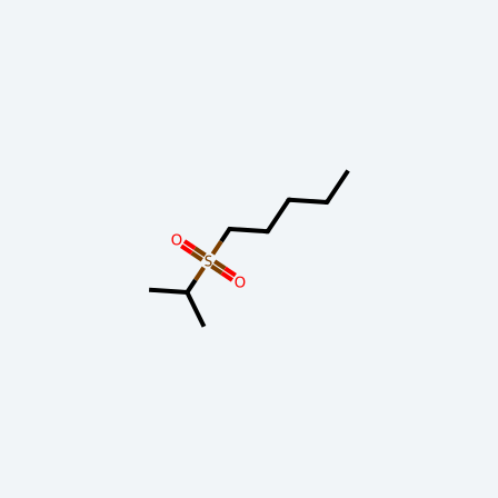 CCCCCS(=O)(=O)C(C)C